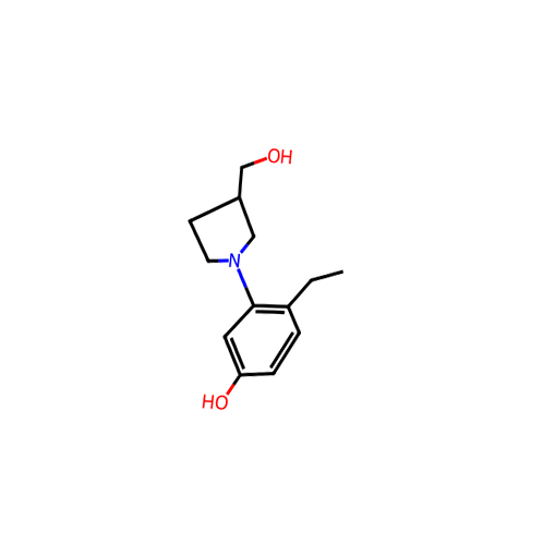 CCc1ccc(O)cc1N1CCC(CO)C1